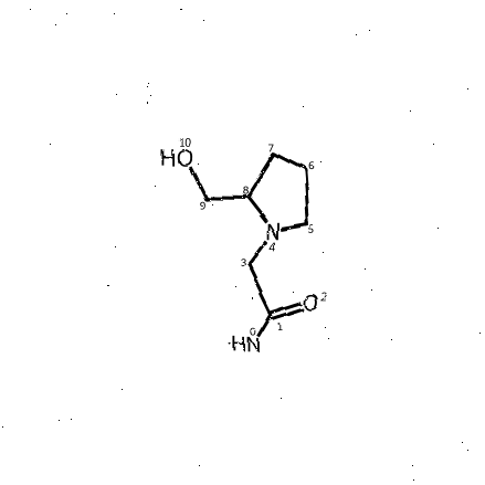 [NH]C(=O)CN1CCCC1CO